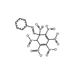 O=[N+]([O-])C1=C([N+](=O)[O-])C([N+](=O)[O-])C(N=Nc2ccccc2)([N+](=O)[O-])C([N+](=O)[O-])=C1[N+](=O)[O-]